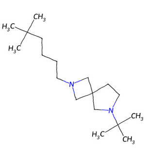 CC(C)(C)CCCCN1CC2(CCN(C(C)(C)C)C2)C1